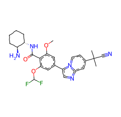 COc1cc(-c2cnc3cc(C(C)(C)C#N)ccn23)cc(OC(F)F)c1C(=O)N[C@H]1CCCC[C@@H]1N